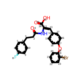 O=C(CCc1ccc(F)cc1)N/C(=C\c1ccc(Oc2ccccc2Br)cc1)C(=O)O